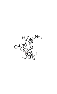 Cc1c(COc2ccc(Cl)c3c2[C@@H](CN2CC4(CC4)CC2=O)N(C(=O)[C@@H]2CCCC[C@]2(C)C(=O)O)CC3)nnn1CCN